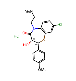 CNCCN1C(=O)[C@H](O)[C@H](c2ccc(OC)cc2)Sc2cc(Cl)ccc21.Cl